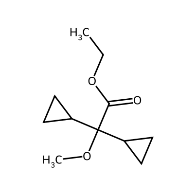 CCOC(=O)C(OC)(C1CC1)C1CC1